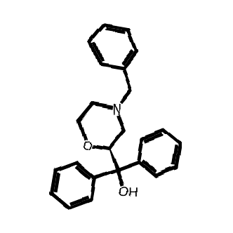 OC(c1ccccc1)(c1ccccc1)[C@@H]1CN(Cc2ccccc2)CCO1